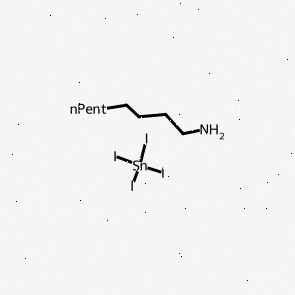 CCCCCCCCCN.[I][Sn]([I])([I])[I]